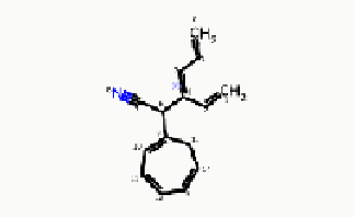 C=C/C=C(\C=C)C(C#N)C1=CC=CC=CC1